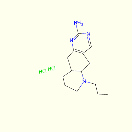 CCCN1CCCC2Cc3nc(N)ncc3CC21.Cl.Cl